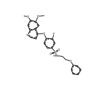 COc1cc2nccc(Oc3ccc(S(=O)(=O)NCCOc4ccccc4)cc3F)c2cc1OC